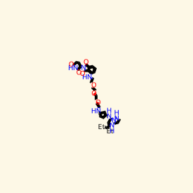 CCC(CC)C1CC(N[C@H]2CC[C@H](NCCOCCOCCOCCNc3cccc4c3C(=O)N(C3CCC(=O)NC3=O)C4=O)C2)N2NCCC2N1